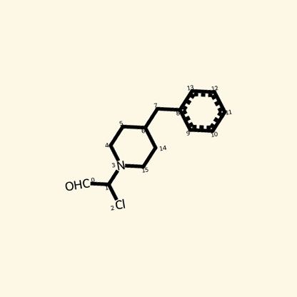 O=CC(Cl)N1CCC(Cc2ccccc2)CC1